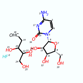 F.Nc1ccn([C@@H]2O[C@H](CO)[C@@H](O)[C@H]2O)c(=O)n1.O=CCC(O)C(O)CO